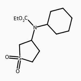 CCOC(=O)N(C1CCCCC1)C1CCS(=O)(=O)C1